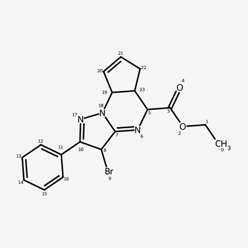 CCOC(=O)C1N=C2C(Br)C(c3ccccc3)=NN2C2C=CCC12